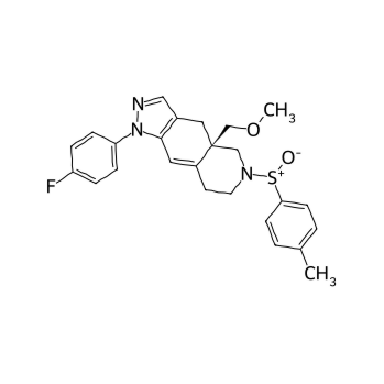 COC[C@]12Cc3cnn(-c4ccc(F)cc4)c3C=C1CCN([S+]([O-])c1ccc(C)cc1)C2